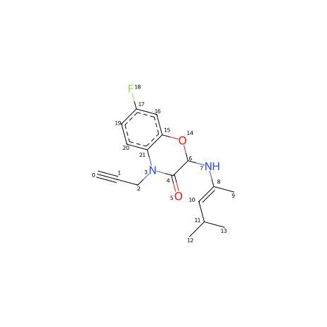 C#CCN1C(=O)C(NC(C)=CC(C)C)Oc2cc(F)ccc21